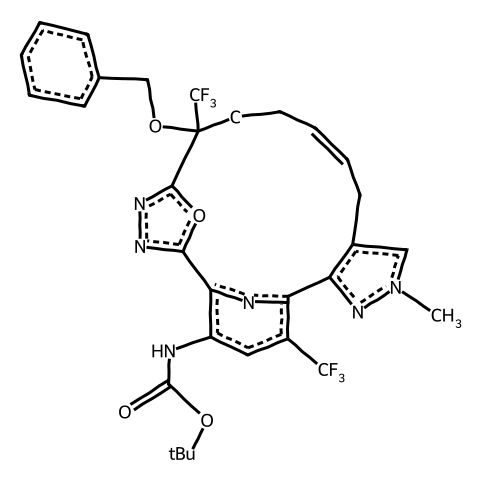 Cn1cc2c(n1)-c1nc(c(NC(=O)OC(C)(C)C)cc1C(F)(F)F)-c1nnc(o1)C(OCc1ccccc1)(C(F)(F)F)CCC=CC2